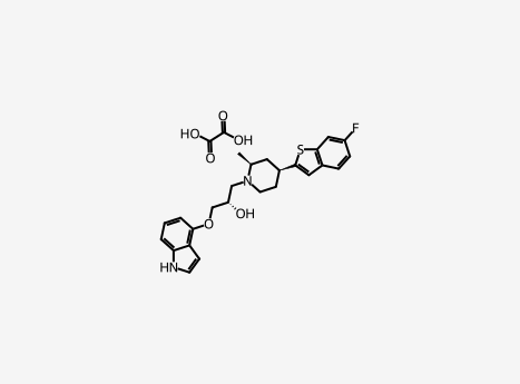 C[C@H]1C[C@@H](c2cc3ccc(F)cc3s2)CCN1C[C@H](O)COc1cccc2[nH]ccc12.O=C(O)C(=O)O